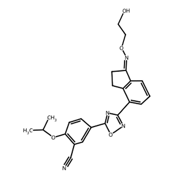 CC(C)Oc1ccc(-c2nc(-c3cccc4c3CCC4=NOCCO)no2)cc1C#N